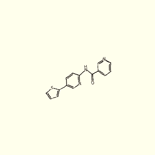 O=C(Nc1ccc(-c2cccs2)cn1)c1cccnc1